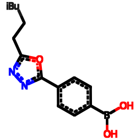 CCC(C)CCc1nnc(-c2ccc(B(O)O)cc2)o1